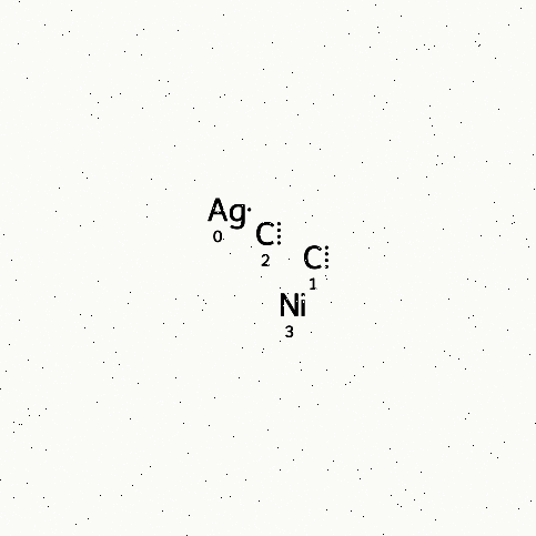 [Ag].[C].[C].[Ni]